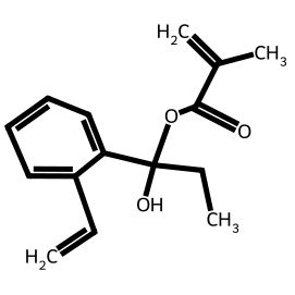 C=Cc1ccccc1C(O)(CC)OC(=O)C(=C)C